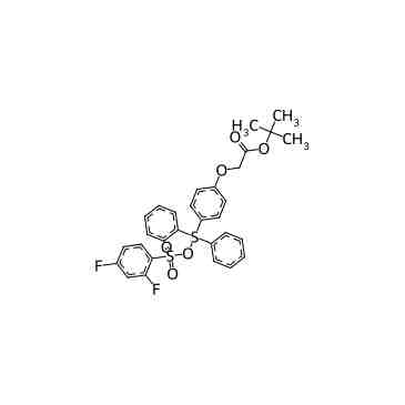 CC(C)(C)OC(=O)COc1ccc(S(OS(=O)(=O)c2ccc(F)cc2F)(c2ccccc2)c2ccccc2)cc1